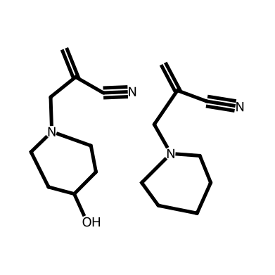 C=C(C#N)CN1CCC(O)CC1.C=C(C#N)CN1CCCCC1